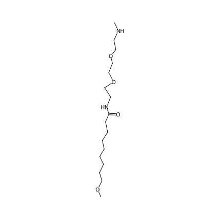 CNCCOCCOCCNC(=O)CCCCCCCCOC